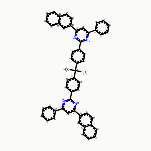 CC(C)(c1ccc(-c2nc(-c3ccccc3)cc(-c3ccc4ccccc4c3)n2)cc1)c1ccc(-c2nc(-c3ccccc3)cc(-c3ccc4ccccc4c3)n2)cc1